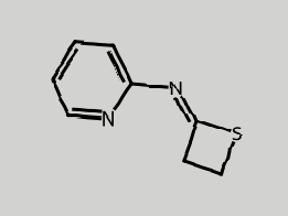 c1ccc(N=C2CCS2)nc1